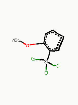 CCCCOc1ccccc1[Si](Cl)(Cl)Cl